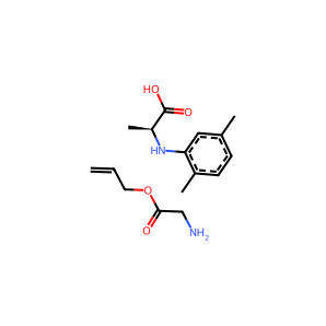 C=CCOC(=O)CN.Cc1ccc(C)c(N[C@@H](C)C(=O)O)c1